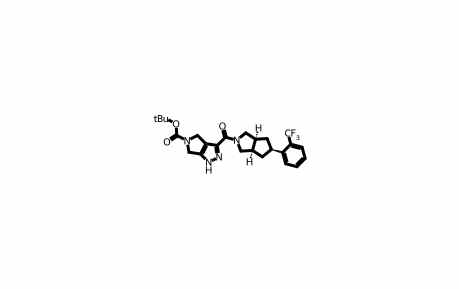 CC(C)(C)OC(=O)N1Cc2[nH]nc(C(=O)N3C[C@H]4C[C@@H](c5ccccc5C(F)(F)F)C[C@H]4C3)c2C1